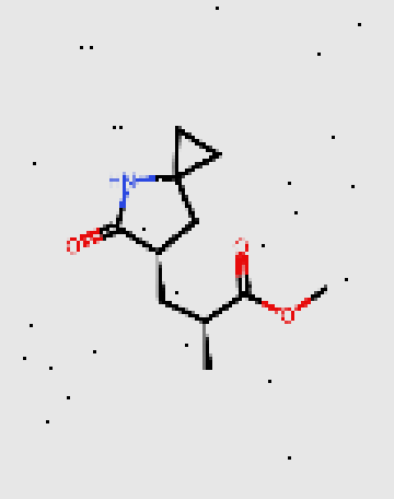 COC(=O)[C@@H](C)C[C@@H]1CC2(CC2)NC1=O